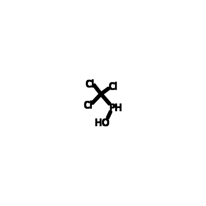 OPC(Cl)(Cl)Cl